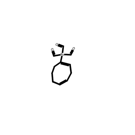 O=[CH][Ru]([CH]=O)([CH]=O)[C]1=CCC=CCCC1